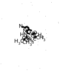 CC(C)(C)OC(=O)NC1CN(C(=O)OC(C)(C)C)Cc2ccc(C#N)nc21